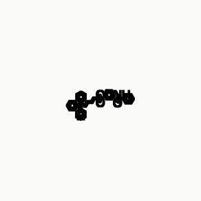 O=C(CCCC[PH](c1ccccc1)(c1ccccc1)c1ccccc1)Oc1ccc(NC(=O)c2ccccc2)cc1